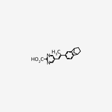 C/C(=C\c1cnc(C(=O)O)nc1)c1ccc2c(c1)C1CCC2C1